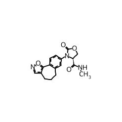 CNC(=O)[C@@H]1COC(=O)N1c1ccc2c(c1)CCCc1cnoc1-2